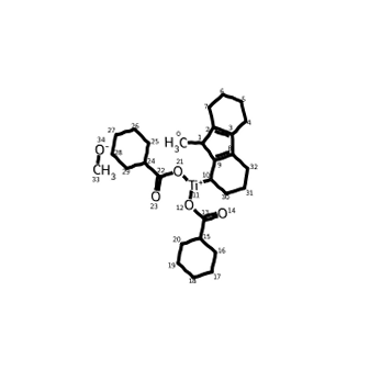 CC1C2=C(CCCC2)C2=C1[CH]([Ti+]([O]C(=O)C1CCCCC1)[O]C(=O)C1CCCCC1)CCC2.C[O-]